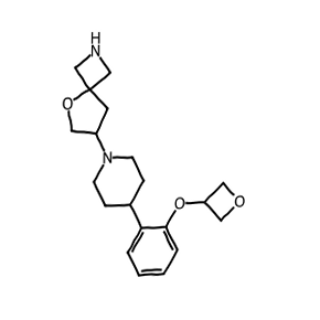 c1ccc(C2CCN(C3COC4(CNC4)C3)CC2)c(OC2COC2)c1